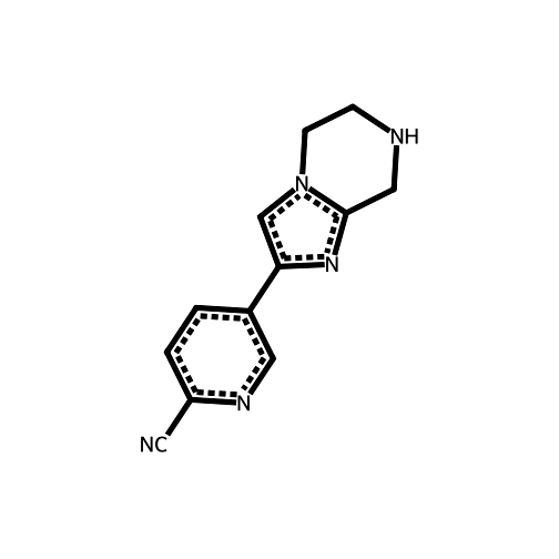 N#Cc1ccc(-c2cn3c(n2)CNCC3)cn1